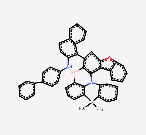 C[Si]1(C)c2ccccc2N2c3c(cccc31)Bc1c(-c3c(Nc4ccc(-c5ccccc5)cc4)ccc4ccccc34)cc3oc4ccccc4c3c12